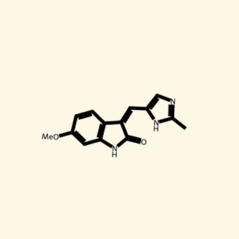 COc1ccc2c(c1)NC(=O)C2=Cc1cnc(C)[nH]1